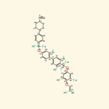 CCCCC1CCC(c2ccc(C(F)(F)Oc3ccc(-c4cc(F)c(C(F)(F)Oc5cc(F)c(OC=C(F)F)c(F)c5)c(F)c4)c(F)c3)cc2)CC1